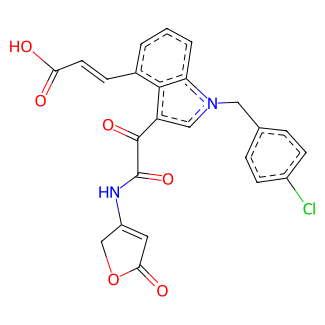 O=C(O)/C=C/c1cccc2c1c(C(=O)C(=O)NC1=CC(=O)OC1)cn2Cc1ccc(Cl)cc1